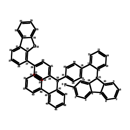 Fc1ccc2c3ccccc3n(-c3ccccc3-c3ccc(N(c4ccc(-c5cccc6c5oc5ccccc56)cc4)c4ccccc4-c4ccccc4)cc3)c2c1